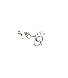 O=C1CC[C@]2(C[C@H](C(=O)N3CCC4(c5ccc(C(F)(F)F)cc5)CC4C3)C2)N1